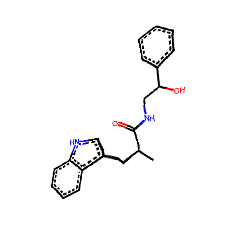 CC(Cc1c[nH]c2ccccc12)C(=O)NCC(O)c1ccccc1